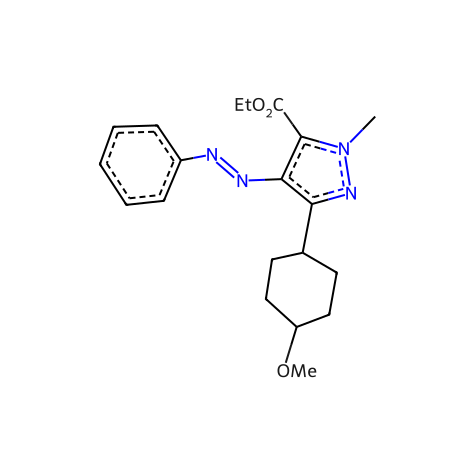 CCOC(=O)c1c(/N=N/c2ccccc2)c(C2CCC(OC)CC2)nn1C